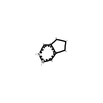 c1nncc2c1CCC2